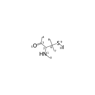 CNC(C(C)=O)C(C)(C)SI